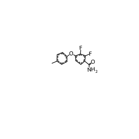 Cc1ccc(Oc2ccc(C(N)=O)c(F)c2F)cc1